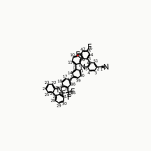 N#Cc1ccc(-n2c3ccccc3c3cc(-c4ccc(-n5c6ccccc6c6ccccc65)c(C(F)(F)F)c4)ccc32)c(-c2cc(F)cc(F)c2)c1